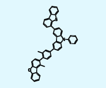 Cc1cc(-c2ccc3c(c2)c2cc(-c4cccc5c4sc4ccccc45)ccc2n3-c2ccccc2)ccc1-c1ccc2oc3ccccc3c2c1C